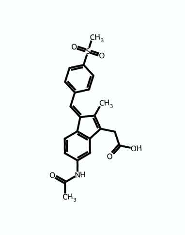 CC(=O)Nc1ccc2c(c1)C(CC(=O)O)=C(C)C2=Cc1ccc(S(C)(=O)=O)cc1